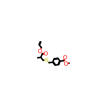 C=CCOC(=O)C(C)CSCc1ccc(C(=O)OC)cc1